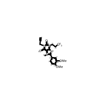 C#CCn1c(=O)c2c(nc(-c3ccc(OC)c(OC)c3)n2C)n(CCC(F)(F)F)c1=O